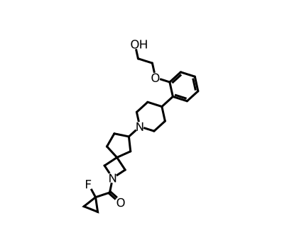 O=C(N1CC2(CCC(N3CCC(c4ccccc4OCCO)CC3)C2)C1)C1(F)CC1